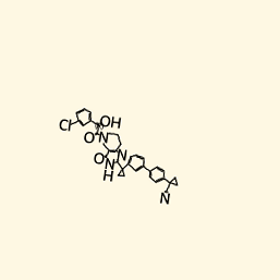 N#CC1(c2ccc(-c3cccc(C4(c5nc6c(c(=O)[nH]5)CN(C(=O)[C@H](O)c5cccc(Cl)c5)CCC6)CC4)c3)cc2)CC1